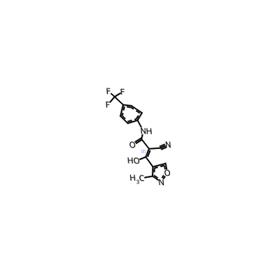 Cc1nocc1/C(O)=C(\C#N)C(=O)Nc1ccc(C(F)(F)F)cc1